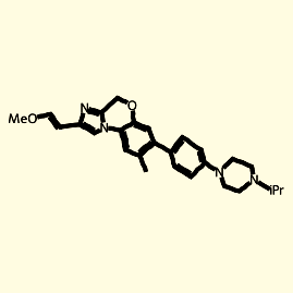 CO/C=C/c1cn2c(n1)COc1cc(-c3ccc(N4CCN(C(C)C)CC4)cc3)c(C)cc1-2